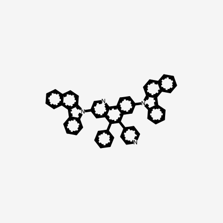 c1ccc(-c2c(-c3ccncc3)c3cc(-n4c5ccccc5c5c6ccccc6ccc54)ccc3c3ncc(-n4c5ccccc5c5c6ccccc6ccc54)cc23)cc1